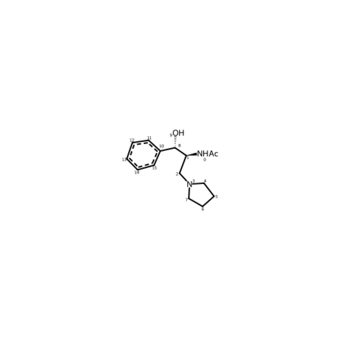 CC(=O)N[C@@H](CN1CCCC1)[C@@H](O)c1ccccc1